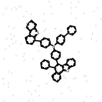 c1ccc(-c2ccc(N(c3ccc(-c4cccc5c4sc4ccccc45)cc3)c3ccc(-c4c(-c5ccccc5)c5ccccc5c5oc6ccccc6c45)cc3)cc2)cc1